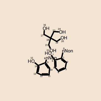 CCCCCCCCCc1ccccc1O.CCCCCCCCCc1ccccc1O.OCC(CO)(CO)CO